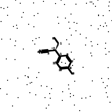 CC[C@@H](C#N)c1ccc(C)cc1